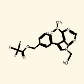 CN(C)c1ncnc2c1c(-c1cccc(COC(=O)C(F)(F)F)c1)cn2CO